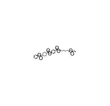 C=CC(=O)OCCCCCCOC(=O)c1ccc(OC(=O)C2CCC(C(=O)Oc3ccccc3)CC2)cc1